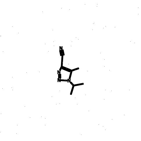 Cc1c(C#N)nnn1C(C)C